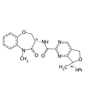 CCC[C@@]1(C)OCc2cnc(C(=O)N[C@H]3COc4ccccc4N(C)C3=O)nc21